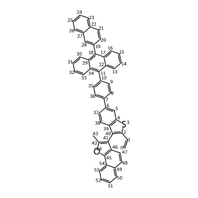 C=Cc1sc2cc(-c3ccc(-c4c5ccccc5c(-c5ccc6ccccc6c5)c5ccccc45)cc3)ccc2c1-c1c(C)oc2c1ccc1ccccc12